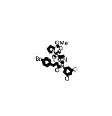 COC(=O)[C@H]1CCCN1S(=O)(=O)c1cnc2n1[C@](C)(Cc1ccc(Br)cc1)C(=O)N2c1cc(Cl)cc(Cl)c1